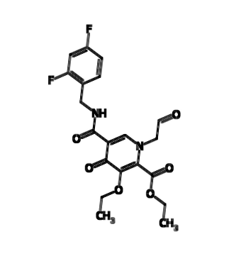 CCOC(=O)c1c(OCC)c(=O)c(C(=O)NCc2ccc(F)cc2F)cn1CC=O